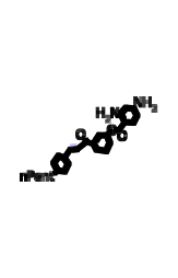 CCCCCc1ccc(/C=C/C(=O)c2cccc(OC(=O)c3ccc(N)cc3N)c2)cc1